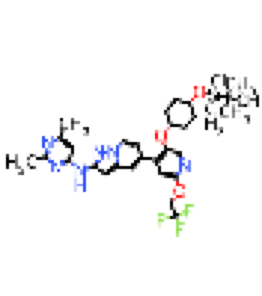 Cc1cc(Nc2cc3cc(-c4cc(OCC(F)(F)F)ncc4O[C@H]4CC[C@H](O[Si](C)(C)C(C)(C)C)CC4)ccn3n2)nc(C)n1